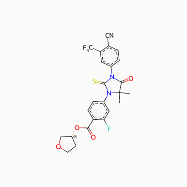 CC1(C)C(=O)N(c2ccc(C#N)c(C(F)(F)F)c2)C(=S)N1c1ccc(C(=O)O[C@@H]2CCOC2)c(F)c1